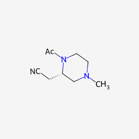 CC(=O)N1CCN(C)C[C@@H]1CC#N